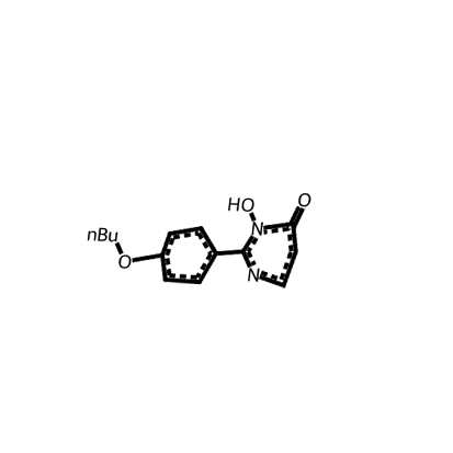 CCCCOc1ccc(-c2nccc(=O)n2O)cc1